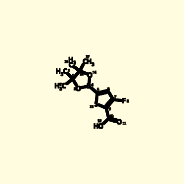 CC1(C)OB(c2cc(F)c(C(=O)O)s2)OC1(C)C